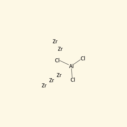 [Cl][Al]([Cl])[Cl].[Zr].[Zr].[Zr].[Zr].[Zr]